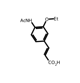 CCOc1cc(/C=C/C(=O)O)ccc1NC(C)=O